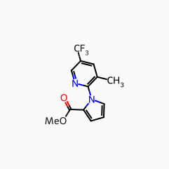 COC(=O)c1cccn1-c1ncc(C(F)(F)F)cc1C